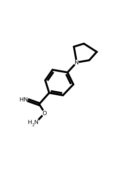 N=C(ON)c1ccc(N2CCCC2)cc1